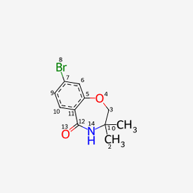 CC1(C)COc2cc(Br)ccc2C(=O)N1